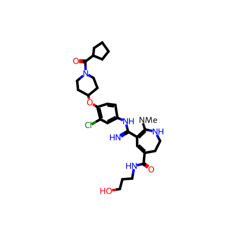 CNC1=C(C(=N)Nc2ccc(OC3CCN(C(=O)C4CCCC4)CC3)c(Cl)c2)C=C(C(=O)NCCCO)CCN1